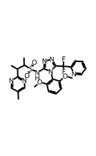 COc1cccc(OC)c1-n1c(NS(=O)(=O)C(C)C(C)c2ncc(C)cn2)nnc1C(F)(F)c1ccccn1